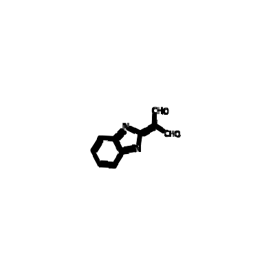 O=CC(C=O)=C1N=c2ccccc2=N1